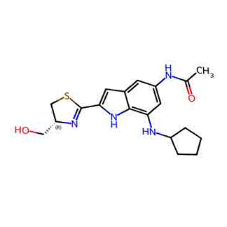 CC(=O)Nc1cc(NC2CCCC2)c2[nH]c(C3=N[C@H](CO)CS3)cc2c1